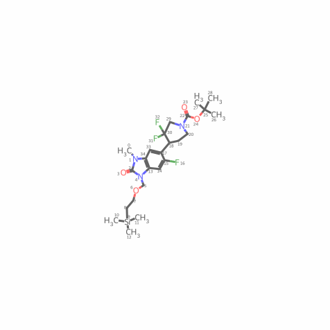 Cn1c(=O)n(COCC[Si](C)(C)C)c2cc(F)c(C3CCN(C(=O)OC(C)(C)C)CC3(F)F)cc21